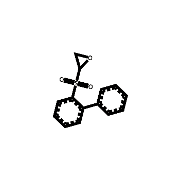 O=S(=O)(c1ccccc1-c1ccccc1)C1CO1